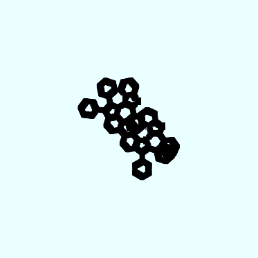 c1ccc(-c2nc3ccccn3c2-n2c(-c3ccccc3)c(-c3ccccc3)c3ccc4c5ccc6c(-c7ccccc7)c(-c7ccccc7)n(-c7c(-c8ccccc8)nc8ccccn78)c6c5ccc4c32)cc1